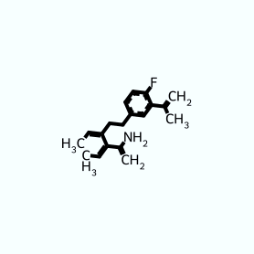 C=C(N)C(=C/C)/C(=C\C)CCc1ccc(F)c(C(=C)C)c1